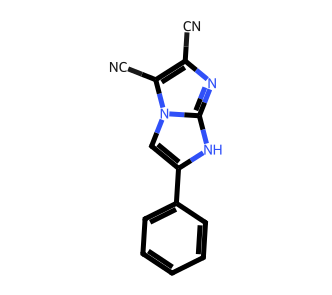 N#Cc1nc2[nH]c(-c3ccccc3)cn2c1C#N